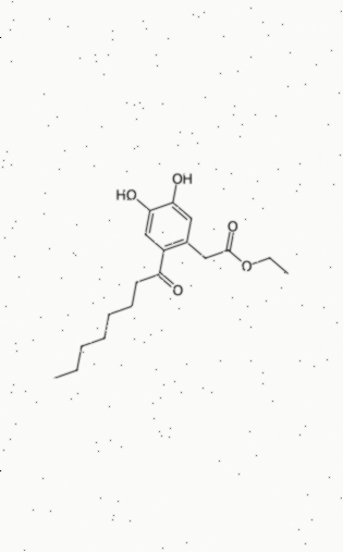 CCCCCCCC(=O)c1cc(O)c(O)cc1CC(=O)OCC